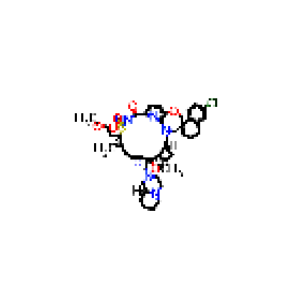 COCC[C@@H]1[C@@H](C)C/C=C/[C@](CN2CCN3CCCC[C@@H]3C2)(OC)[C@@H]2CC[C@H]2CN2C[C@@]3(CCCc4cc(Cl)ccc43)COc3ccc(nc32)C(=O)NS1(=O)=O